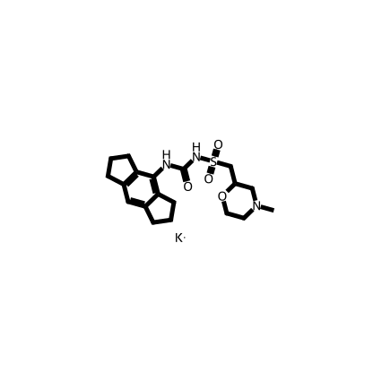 CN1CCOC(CS(=O)(=O)NC(=O)Nc2c3c(cc4c2CCC4)CCC3)C1.[K]